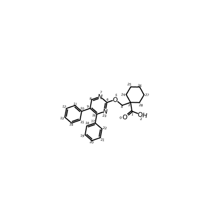 O=C(O)C1(COc2ncc(-c3ccccc3)c(-c3ccccc3)n2)CCCCC1